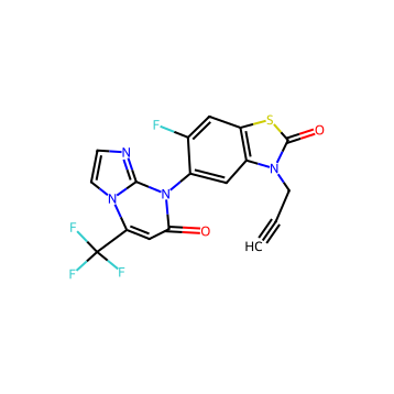 C#CCn1c(=O)sc2cc(F)c(-n3c(=O)cc(C(F)(F)F)n4ccnc34)cc21